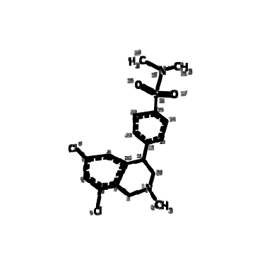 CN1Cc2c(Cl)cc(Cl)cc2C(c2ccc(S(=O)(=O)N(C)C)cc2)C1